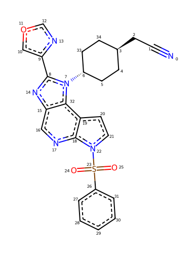 N#CC[C@H]1CC[C@H](n2c(-c3cocn3)nc3cnc4c(ccn4S(=O)(=O)c4ccccc4)c32)CC1